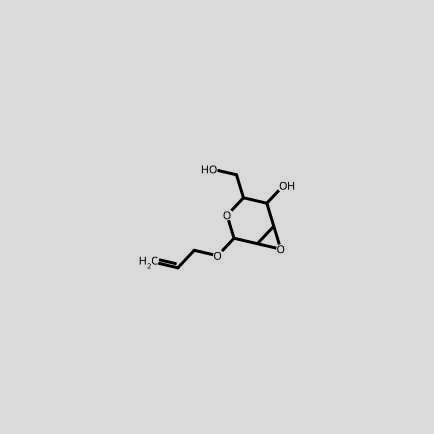 C=CCOC1OC(CO)C(O)C2OC12